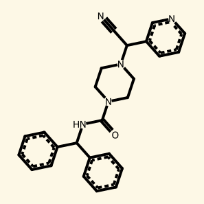 N#CC(c1cccnc1)N1CCN(C(=O)NC(c2ccccc2)c2ccccc2)CC1